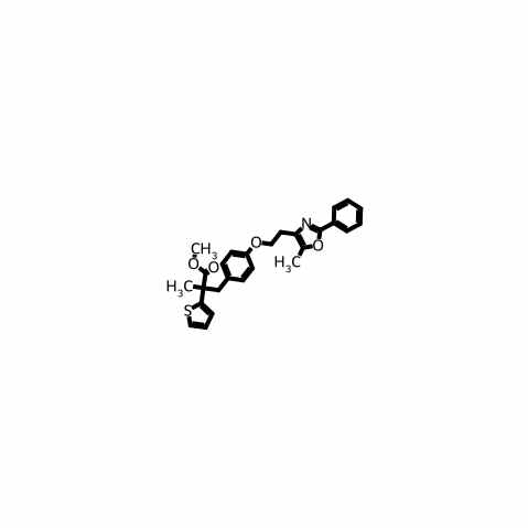 COC(=O)C(C)(Cc1ccc(OCCc2nc(-c3ccccc3)oc2C)cc1)c1cccs1